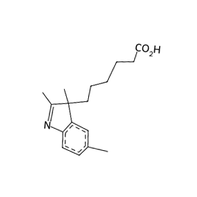 CC1=Nc2ccc(C)cc2C1(C)CCCCCC(=O)O